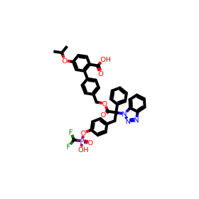 CC(C)Oc1ccc(C(=O)O)c(-c2ccc(COC(=O)C(Cc3ccc(OP(=O)(O)C(F)F)cc3)(c3ccccc3)n3nnc4ccccc43)cc2)c1